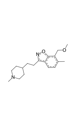 COCc1c(C)ccc2c(CCC3CCN(C)CC3)noc12